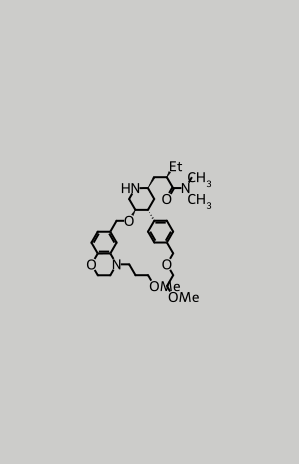 CC[C@H](C[C@H]1C[C@H](c2ccc(COCCOC)cc2)[C@@H](OCc2ccc3c(c2)N(CCCOC)CCO3)CN1)C(=O)N(C)C